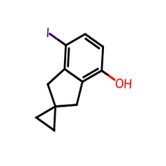 Oc1ccc(I)c2c1CC1(CC1)C2